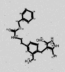 CC(C)C1=C(Cc2ccc(CCNC(=O)OCc3ccccc3)cc2CN)C(C=O)NN1